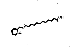 C[n+]1ccccc1CCCCCCCCCCCCCC(=O)O